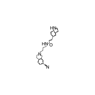 N#Cc1ccc2c(c1)CN(CCCCNC(=O)/C=C/c1ccc3[nH]ccc3c1)CC2